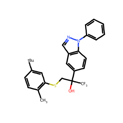 Cc1ccc(C(C)(C)C)cc1SCC(O)(c1ccc2c(cnn2-c2ccccc2)c1)C(F)(F)F